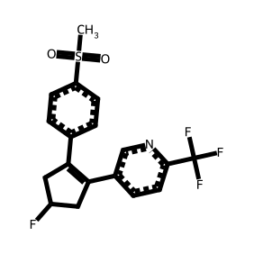 CS(=O)(=O)c1ccc(C2=C(c3ccc(C(F)(F)F)nc3)CC(F)C2)cc1